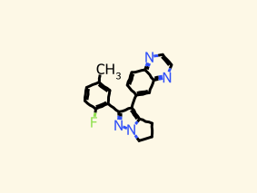 Cc1ccc(F)c(-c2nn3c(c2-c2ccc4nccnc4c2)CCC3)c1